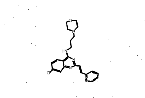 Clc1ccc2c(NCCCN3CCOCC3)nc(C=Cc3ccccc3)nc2c1